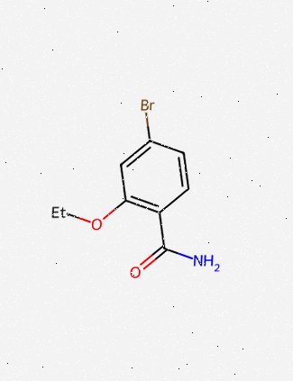 CCOc1cc(Br)ccc1C(N)=O